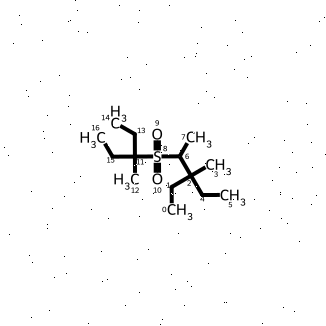 CCC(C)(CC)C(C)S(=O)(=O)C(C)(CC)CC